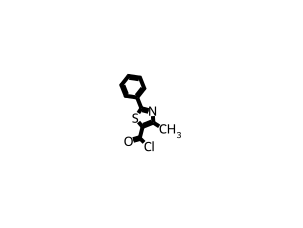 Cc1nc(-c2ccccc2)sc1C(=O)Cl